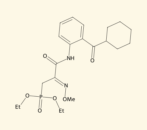 CCOP(=O)(CC(=NOC)C(=O)Nc1ccccc1C(=O)C1CCCCC1)OCC